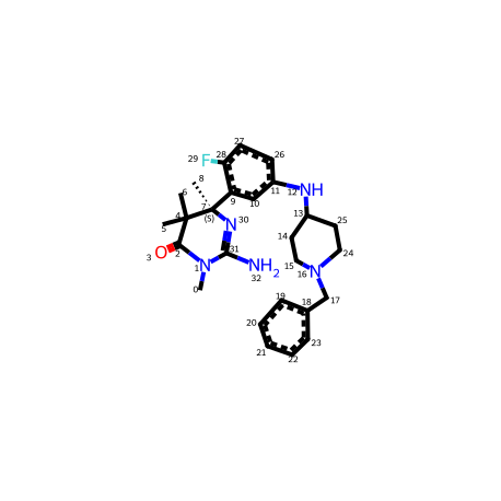 CN1C(=O)C(C)(C)[C@@](C)(c2cc(NC3CCN(Cc4ccccc4)CC3)ccc2F)N=C1N